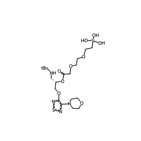 CC(C)(C)NC[C@@H](COc1nsnc1N1CCOCC1)OC(=O)COCCOCC[Si](O)(O)O